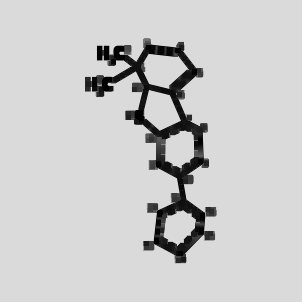 CC1(C)C=CC=C2c3ccc(-c4ccccc4)cc3SC21